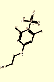 Cc1cc(OCCO)cc(C)c1S(=O)(=O)Cl